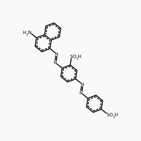 Nc1ccc(/N=N/c2ccc(/N=N/c3ccc(S(=O)(=O)O)cc3)cc2S(=O)(=O)O)c2ccccc12